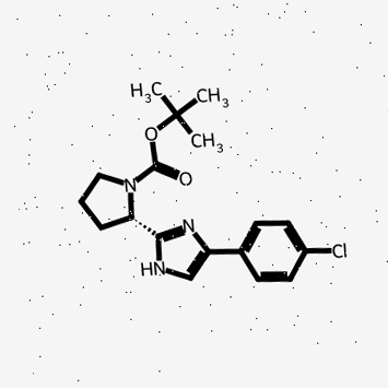 CC(C)(C)OC(=O)N1CCC[C@H]1c1nc(-c2ccc(Cl)cc2)c[nH]1